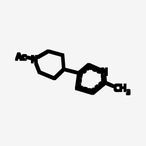 CC(=O)N1CCC(c2ccc(C)nc2)CC1